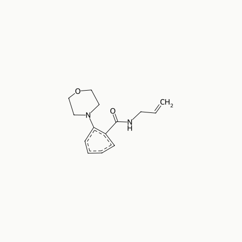 C=CCNC(=O)c1ccccc1N1CCOCC1